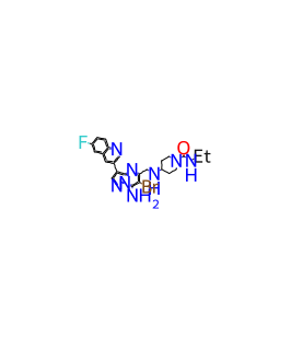 CCNC(=O)N1CCC(NCc2nc3c(-c4cnc5ccc(F)cc5c4)cnn3c(N)c2Br)CC1